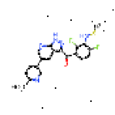 CCCSNc1c(F)ccc(C(=O)c2n[nH]c3ncc(-c4ccc(C(=O)O)nc4)cc23)c1F